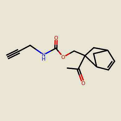 C#CCNC(=O)OCC1(C(C)=O)CC2C=CC1C2